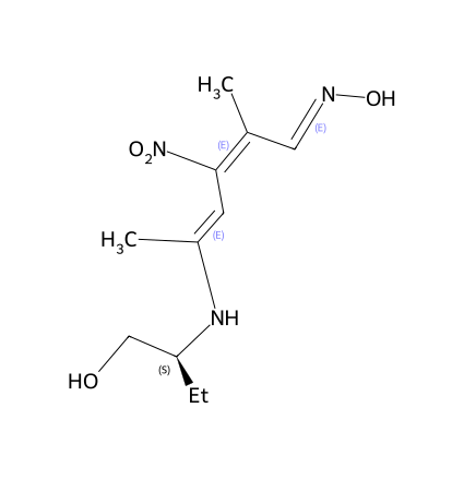 CC[C@@H](CO)N/C(C)=C/C(=C(C)\C=N\O)[N+](=O)[O-]